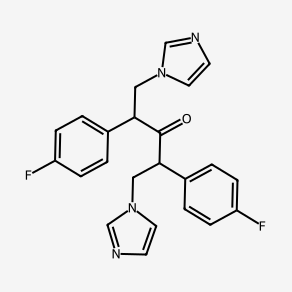 O=C(C(Cn1ccnc1)c1ccc(F)cc1)C(Cn1ccnc1)c1ccc(F)cc1